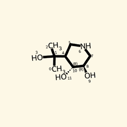 CC(C)(O)C1CNC[C@@H](O)[C@@H]1O